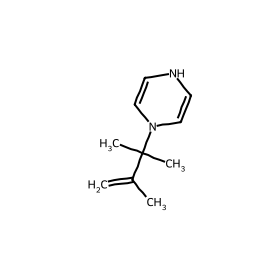 C=C(C)C(C)(C)N1C=CNC=C1